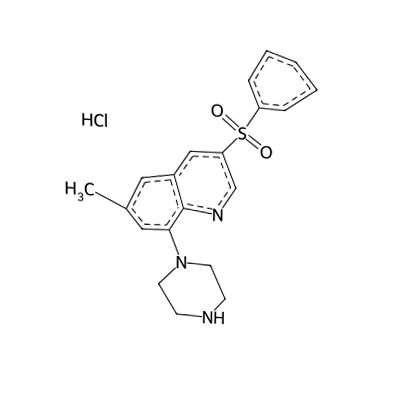 Cc1cc(N2CCNCC2)c2ncc(S(=O)(=O)c3ccccc3)cc2c1.Cl